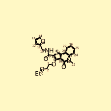 CCOCCOc1c(C(=O)NCc2ccco2)sc2c1c(=O)n(C)c1ccccc21